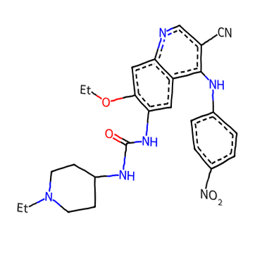 CCOc1cc2ncc(C#N)c(Nc3ccc([N+](=O)[O-])cc3)c2cc1NC(=O)NC1CCN(CC)CC1